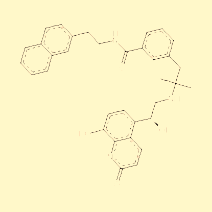 CC(C)(Cc1cccc(C(=O)NCCc2ccc3ccccc3c2)c1)NC[C@@H](O)c1ccc(O)c2[nH]c(=O)ccc12